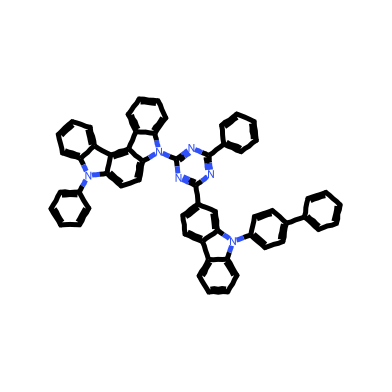 c1ccc(-c2ccc(-n3c4ccccc4c4ccc(-c5nc(-c6ccccc6)nc(-n6c7ccccc7c7c8c9ccccc9n(-c9ccccc9)c8ccc76)n5)cc43)cc2)cc1